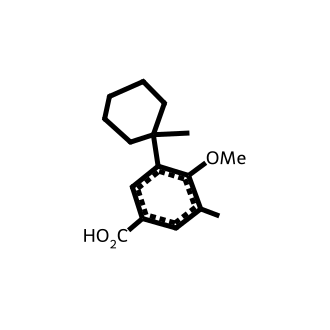 COc1c(C)cc(C(=O)O)cc1C1(C)CCCCC1